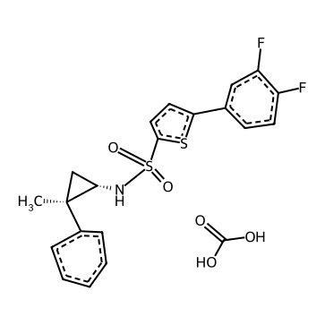 C[C@]1(c2ccccc2)C[C@@H]1NS(=O)(=O)c1ccc(-c2ccc(F)c(F)c2)s1.O=C(O)O